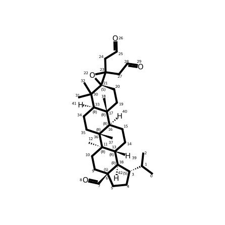 CC(C)[C@@H]1CC[C@]2(C=O)CC[C@]3(C)[C@H](CC[C@@H]4[C@@]5(C)CC[C@]6(OC6(CC=O)CC=O)C(C)(C)[C@@H]5CC[C@]43C)[C@@H]12